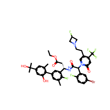 CCOC(=O)C[C@H](NC(=O)C(c1cc(Br)ccc1F)n1cc(CCN2CC(F)C2)c(C(F)(F)F)cc1=O)c1cc(-c2c(C)cc(C(C)(C)O)cc2O)cc(C)c1F